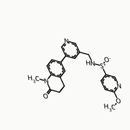 COc1ccc([S+]([O-])NCc2cncc(-c3ccc4c(c3)CCC(=O)N4C)c2)cn1